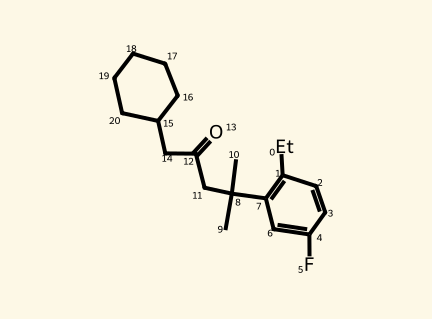 CCc1ccc(F)cc1C(C)(C)CC(=O)CC1CCCCC1